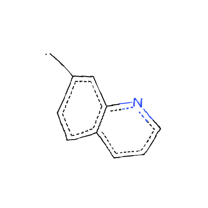 [CH2]c1ccc2cccnc2c1